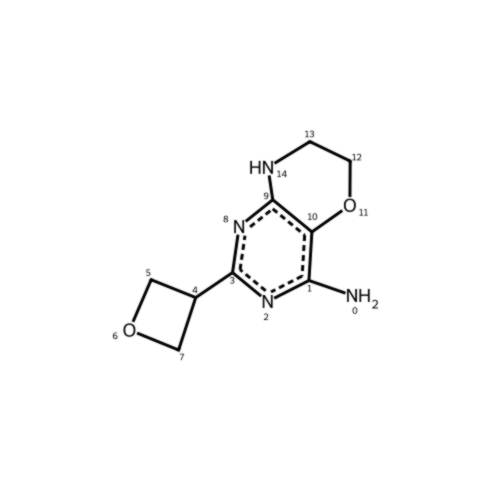 Nc1nc(C2COC2)nc2c1OCCN2